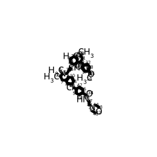 C#CCN(C)[C@H](C)Cc1ccccc1.COc1ccc(C(CN(C)C)C2(O)CCCCC2)cc1.O=C(NCCN1CCOCC1)c1ccc(Cl)cc1